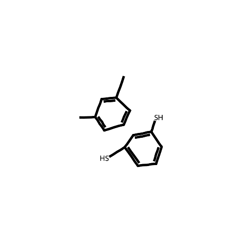 Cc1cccc(C)c1.Sc1cccc(S)c1